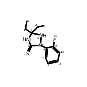 CCC1(CC)NC(=S)N(c2ccccc2F)N1